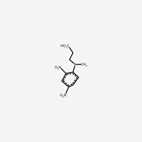 CN(CCC(=O)O)c1ccc([N+](=O)[O-])cc1[N+](=O)[O-]